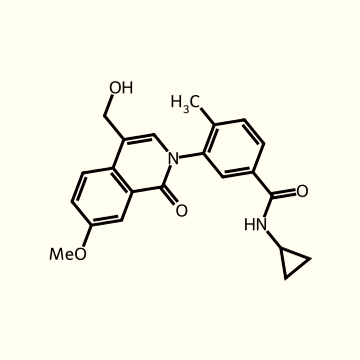 COc1ccc2c(CO)cn(-c3cc(C(=O)NC4CC4)ccc3C)c(=O)c2c1